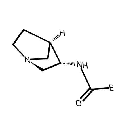 CCC(=O)N[C@@H]1C[N@@]2CC[C@@H]1C2